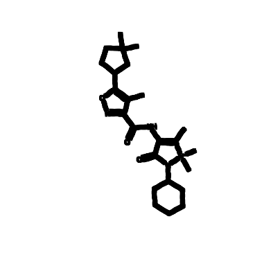 CC1=C(NC(=O)c2noc(C3CCC(C)(C)C3)c2C)C(=O)N(C2CCCCC2)[N+]1(C)C